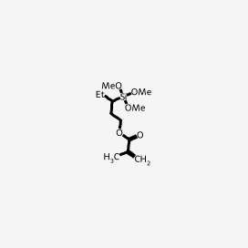 C=C(C)C(=O)OCCC(CC)[Si](OC)(OC)OC